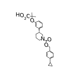 CC(C)(Oc1cccc([C@@H]2CCCN(C(=O)OCc3ccc(C4CC4)cc3)C2)c1)C(=O)O